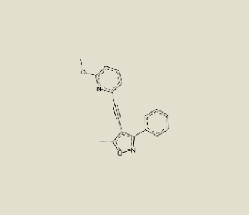 COc1cccc(C#Cc2c(-c3ccccc3)noc2C)n1